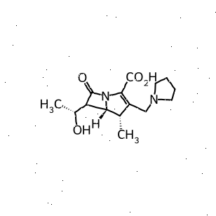 C[C@@H](O)C1C(=O)N2C(C(=O)O)=C(CN3CCCC3)[C@H](C)[C@H]12